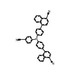 N#Cc1ccc(N(c2ccc(-c3ccc(C#N)c4ccccc34)cc2)c2ccc(-c3ccc(C#N)c4ccccc34)cc2)cc1